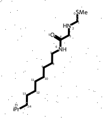 CSCNCC(=O)NCCCCCCCCC(C)C